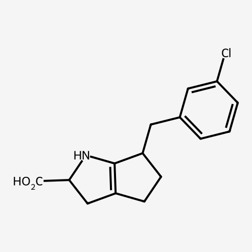 O=C(O)C1CC2=C(N1)C(Cc1cccc(Cl)c1)CC2